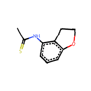 CC(=S)Nc1cccc2c1CCO2